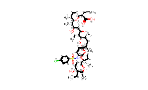 CC[C@@H](C(=O)[C@@H](C)[C@@H](O)[C@H](C)[C@@H]1O[C@@H]([C@@H](CC)C(=O)O)CC[C@@H]1C)[C@H]1O[C@]2(C=C[C@@H](NS(=O)(=O)c3ccc(Cl)cc3)[C@]3(CC[C@@](C)([C@H]4CC[C@](O)(CC)[C@H](C)O4)O3)O2)[C@H](C)C[C@@H]1C